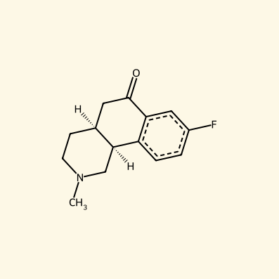 CN1CC[C@H]2CC(=O)c3cc(F)ccc3[C@H]2C1